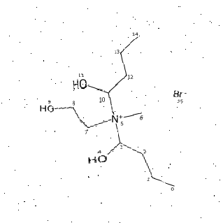 CCCC(O)[N+](C)(CCO)C(O)CCC.[Br-]